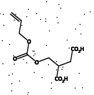 C=CCOC(=O)OCC(CC(=O)O)C(=O)O